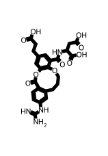 N=C(N)Nc1ccc2c(c1)CCCOc1c(cc(CCC(=O)O)cc1C(=O)NC(CC(=O)O)C(=O)O)OC2=O